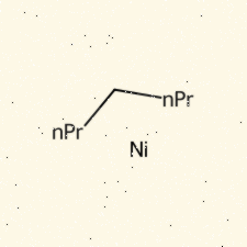 [CH2]CCCCCC.[Ni]